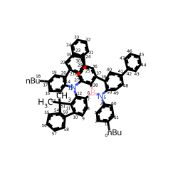 CCCCc1ccc(N2B3c4ccc5c(c4N(c4ccc(CCCC)cc4-c4ccccc4)c4cc(-c6ccccc6)cc(c43)-c3cc(-c4ccccc4)ccc32)C(C)(C)c2ccccc2-5)cc1